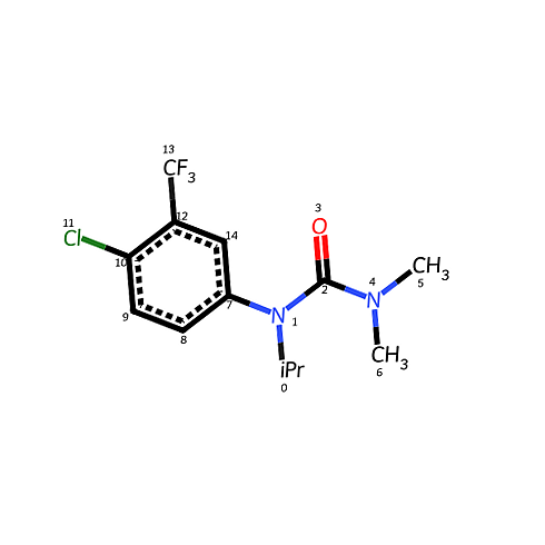 CC(C)N(C(=O)N(C)C)c1ccc(Cl)c(C(F)(F)F)c1